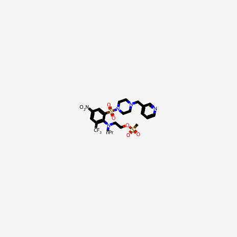 CCCN(CCOS(C)(=O)=O)c1c(C(F)(F)F)cc([N+](=O)[O-])cc1S(=O)(=O)N1CCN(Cc2cccnc2)CC1